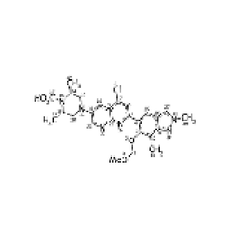 COCOc1c(-c2cc(Cl)c3cc(N4C[C@H](C)N(C(=O)O)[C@@H](C)C4)cnc3n2)cc2cn(C)nc2c1C